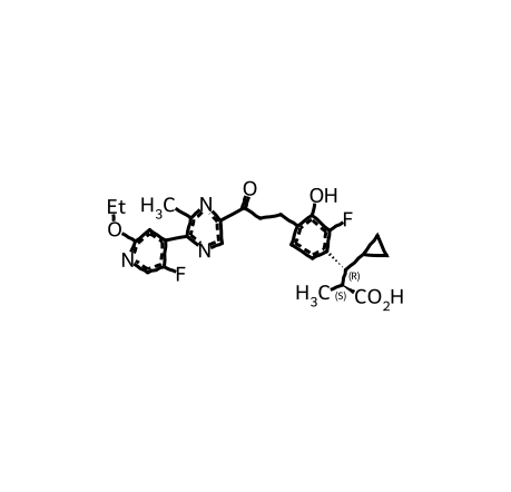 CCOc1cc(-c2ncc(C(=O)CCc3ccc([C@H](C4CC4)[C@H](C)C(=O)O)c(F)c3O)nc2C)c(F)cn1